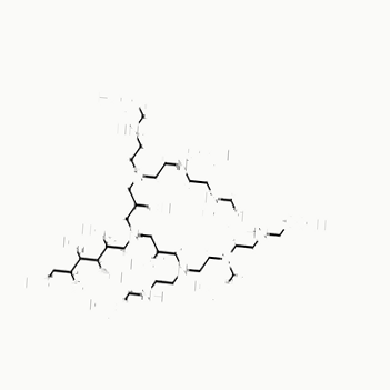 O=C(O)CNCCN(CCN(CCNCC(=O)O)CC(O)CN(CC(O)CN(CCNCC(=O)O)CCN(CCNCC(=O)O)C(=O)O)CC(O)C(O)C(O)C(O)CO)CC(=O)O